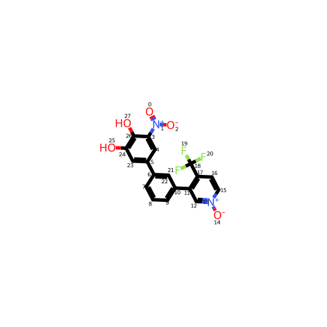 O=[N+]([O-])c1cc(-c2cccc(-c3c[n+]([O-])ccc3C(F)(F)F)c2)cc(O)c1O